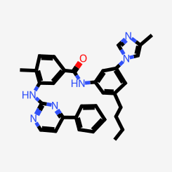 CCCCc1cc(NC(=O)c2ccc(C)c(Nc3nccc(-c4ccccc4)n3)c2)cc(-n2cnc(C)c2)c1